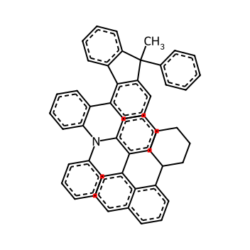 CC1(c2ccccc2)c2ccccc2-c2c(-c3ccccc3N(c3ccccc3)c3ccccc3-c3cccc4cccc(C5CCCCC5)c34)cccc21